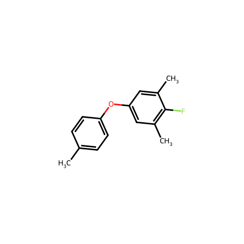 Cc1ccc(Oc2cc(C)c(F)c(C)c2)cc1